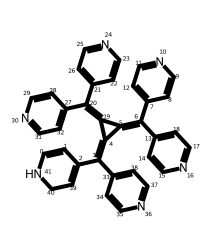 C1=CC(C(=C2C(=C(c3ccncc3)c3ccncc3)C2=C(c2ccncc2)c2ccncc2)c2ccncc2)=CCN1